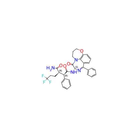 NC(=O)[C@H](CCC(F)(F)F)[C@@H](C(=O)N[C@H]1N=C(c2ccccc2)c2cccc3c2N(CCCO3)C1=O)c1ccccc1